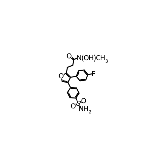 CN(O)C(=O)CCc1occ(-c2ccc(S(N)(=O)=O)cc2)c1-c1ccc(F)cc1